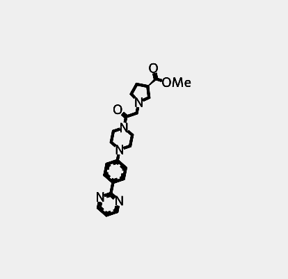 COC(=O)[C@@H]1CCN(CC(=O)N2CCN(c3ccc(-c4ncccn4)cc3)CC2)C1